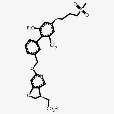 CS(=O)(=O)CCCOc1cc(C(F)(F)F)c(-c2cccc(COc3cc4c(cn3)[C@@H](CC(=O)O)CO4)c2)c(C(F)(F)F)c1